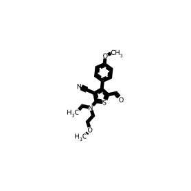 CCN(CCOC)c1sc(C=O)c(-c2ccc(OC)cc2)c1C#N